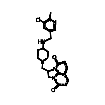 Cc1ncc(CNC2CCN(C[C@@H]3Cn4c(=O)ccc5ccc(=O)n3c54)CC2)cc1Cl